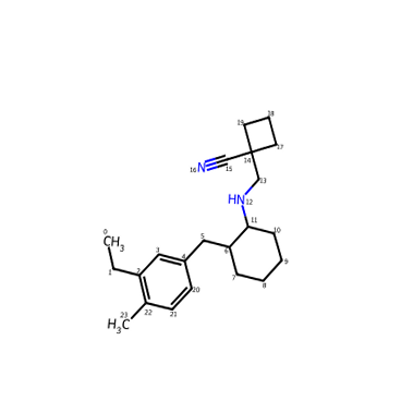 CCc1cc(CC2CCCCC2NCC2(C#N)CCC2)ccc1C